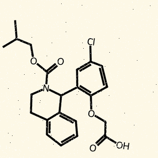 CC(C)COC(=O)N1CCc2ccccc2C1c1cc(Cl)ccc1OCC(=O)O